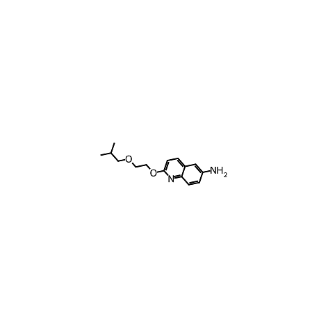 CC(C)COCCOc1ccc2cc(N)ccc2n1